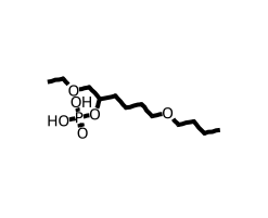 CCCCOCCCCC(COCC)OP(=O)(O)O